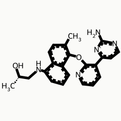 Cc1ccc2c(NC[C@H](C)O)cccc2c1Oc1ncccc1-c1ccnc(N)n1